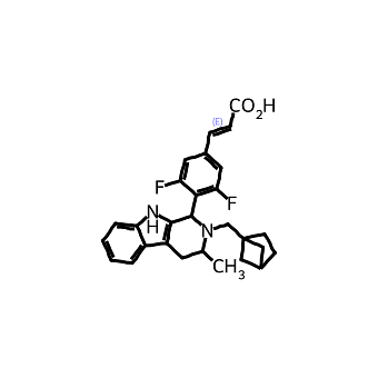 CC1Cc2c([nH]c3ccccc23)C(c2c(F)cc(/C=C/C(=O)O)cc2F)N1CC12CCC(C1)C2